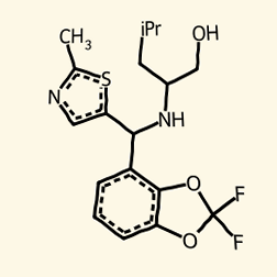 Cc1ncc(C(NC(CO)CC(C)C)c2cccc3c2OC(F)(F)O3)s1